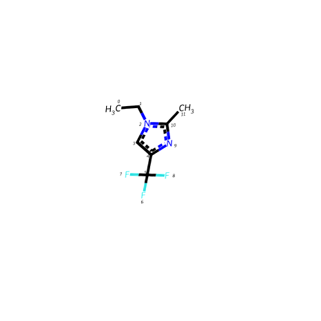 CCn1cc(C(F)(F)F)nc1C